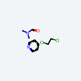 CN(C)C=O.ClCCCl.c1ccncc1